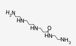 NCCNCCCNCCC(=O)NCCN